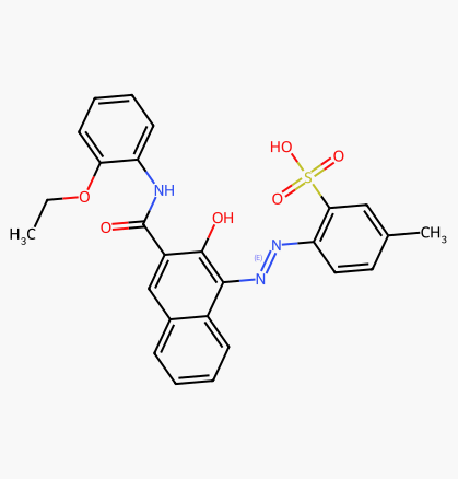 CCOc1ccccc1NC(=O)c1cc2ccccc2c(/N=N/c2ccc(C)cc2S(=O)(=O)O)c1O